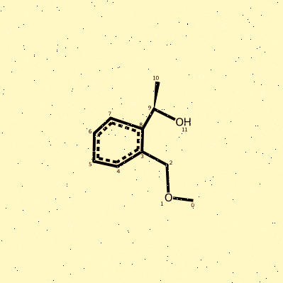 COCc1ccccc1[C@@H](C)O